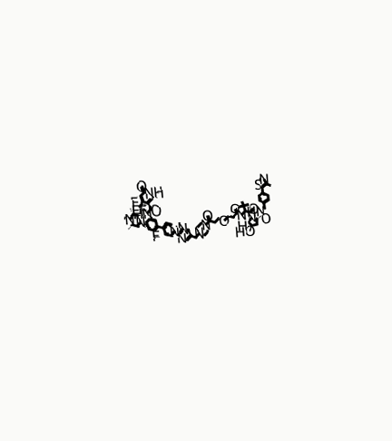 Cc1ncsc1-c1ccc(CNC(=O)[C@@H]2C[C@@H](O)CN2C(=O)C(NC(=O)CCOCCC(=O)N2CCN(Cc3cnc(N4CC=C(c5cc(NC(=O)c6c[nH]c(=O)cc6C(F)(F)F)c(N6C[C@@H](C)N(C)[C@@H](C)C6)cc5F)CC4)nc3)CC2)C(C)(C)C)cc1